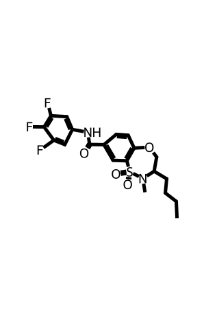 CCCCC1COc2ccc(C(=O)Nc3cc(F)c(F)c(F)c3)cc2S(=O)(=O)N1C